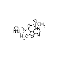 Cc1oc2ncnc(NC3(C)CC3)c2c1C(=O)N1CCn2nccc2C1